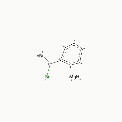 CCCCC(Br)c1ccccc1.[MgH2]